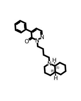 O=c1c(-c2ccccc2)ccnn1CCCCN1CCC[C@H]2CCCC[C@@H]21